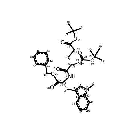 Cn1cc(C[C@@H](NC(=O)[C@H](CCC(=O)OC(C)(C)C)NC(=O)OC(C)(C)C)C(=O)OCc2ccccc2)c2ccccc21